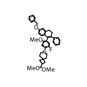 COc1cc(N2CCC3(CC2)CC(C(OC)OC)C3)c(F)cc1C1=C(c2ccccc2)CCc2cc(OCc3ccccc3)ccc21